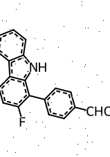 O=Cc1ccc(-c2c(F)ccc3c2[nH]c2ccccc23)cc1